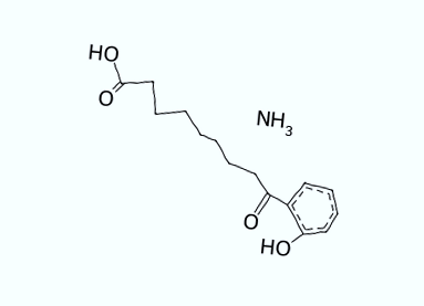 N.O=C(O)CCCCCCCC(=O)c1ccccc1O